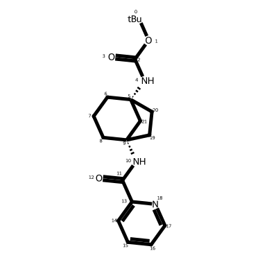 CC(C)(C)OC(=O)N[C@]12CCC[C@](NC(=O)c3ccccn3)(CC1)C2